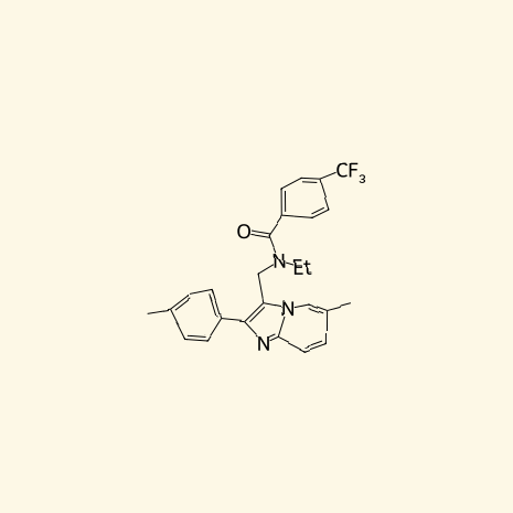 CCN(Cc1c(-c2ccc(C)cc2)nc2ccc(C)cn12)C(=O)c1ccc(C(F)(F)F)cc1